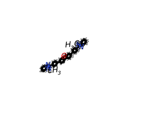 Cn1c(-c2ccc(-c3ccc4c(c3)oc3cc(-c5ccc(-c6nc7ccccc7n6C)cc5)ccc34)cc2)nc2ccccc21